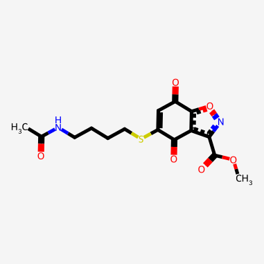 COC(=O)c1noc2c1C(=O)C(SCCCCNC(C)=O)=CC2=O